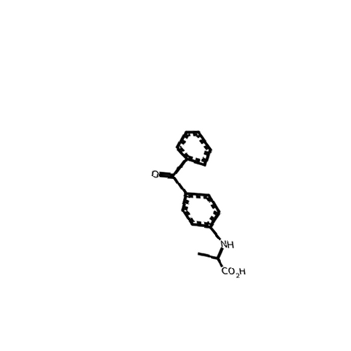 CC(Nc1ccc(C(=O)c2ccccc2)cc1)C(=O)O